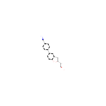 N#Cc1ccc(-c2ccc3c(c2)CC(CC=O)O3)cc1